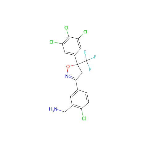 NCc1cc(C2=NOC(c3cc(Cl)c(Cl)c(Cl)c3)(C(F)(F)F)C2)ccc1Cl